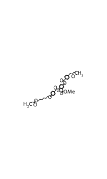 C=CC(=O)Cc1ccc(C(=O)Oc2ccc(OC(=O)c3ccc(OCCCCCCOC(=O)C=C)cc3)c(C(=O)OC)c2)cc1